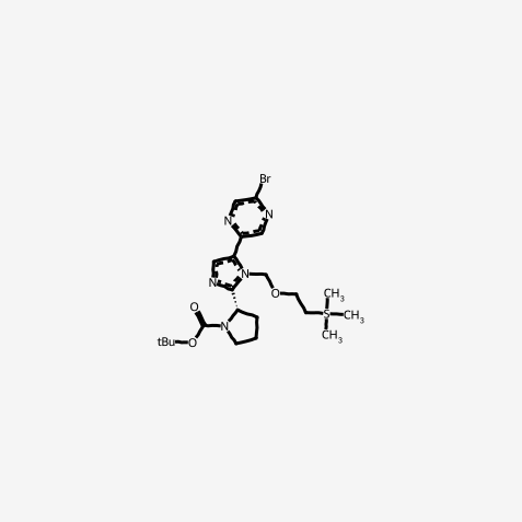 CC(C)(C)OC(=O)N1CCC[C@H]1c1ncc(-c2cnc(Br)cn2)n1COCCS(C)(C)C